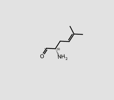 CC(C)=CC[C@H](N)[C]=O